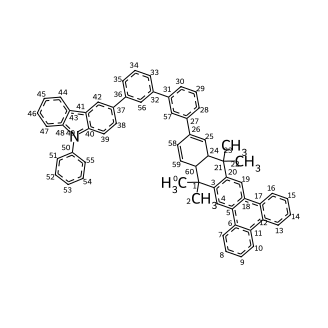 CC1(C)c2cc3c4ccccc4c4ccccc4c3cc2C(C)(C)C2C=C(c3cccc(-c4cccc(-c5ccc6c(c5)c5ccccc5n6-c5ccccc5)c4)c3)C=CC21